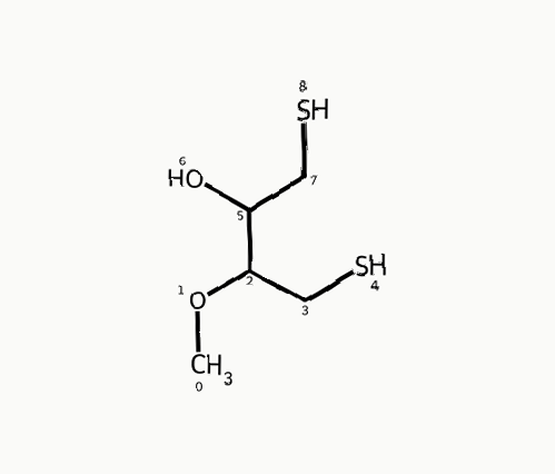 COC(CS)C(O)CS